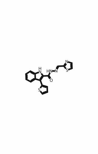 O=C(NN=Cc1nccs1)c1[nH]c2ccccc2c1-c1cccs1